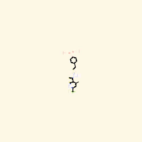 Cc1cc(C(F)(F)F)nc2scc(NS(=O)(=O)/C=C/c3ccc(B(O)O)cc3)c12